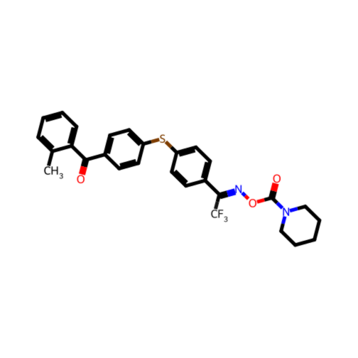 Cc1ccccc1C(=O)c1ccc(Sc2ccc(/C(=N/OC(=O)N3CCCCC3)C(F)(F)F)cc2)cc1